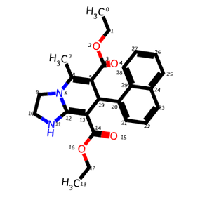 CCOC(=O)C1=C(C)N2CCNC2=C(C(=O)OCC)C1c1cccc2ccccc12